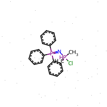 C[PH](C)(Cl)N=P(c1ccccc1)(c1ccccc1)c1ccccc1